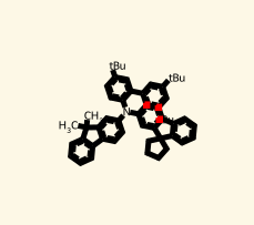 CC(C)(C)c1cc(-c2cc(C(C)(C)C)ccc2N(c2ccc3c(c2)C(C)(C)c2ccccc2-3)c2ccc3c(c2)C2(CCCC2)c2ccccc2-3)cc(C(C)(C)C)c1